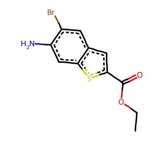 CCOC(=O)c1cc2cc(Br)c(N)cc2s1